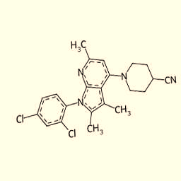 Cc1cc(N2CCC(C#N)CC2)c2c(C)c(C)n(-c3ccc(Cl)cc3Cl)c2n1